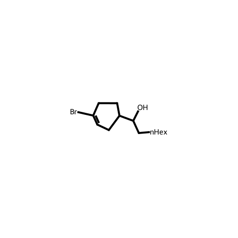 CCCCCCCC(O)C1CC=C(Br)CC1